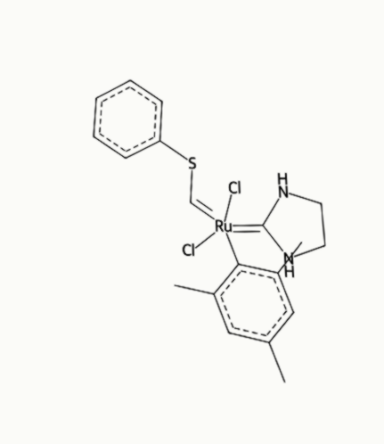 Cc1cc(C)[c]([Ru]([Cl])([Cl])(=[CH]Sc2ccccc2)=[C]2NCCN2)c(C)c1